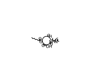 CCCCCCC(=O)O[C@H]1[C@@H](C)CCC[C@@]2(C)O[C@H]2C[C@@H](/C(C)=C/c2csc(C)n2)NC(=O)C[C@H](O)C(C)(C)C(=O)[C@@H]1C